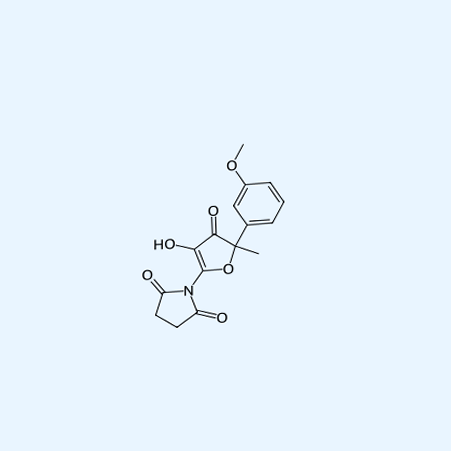 COc1cccc(C2(C)OC(N3C(=O)CCC3=O)=C(O)C2=O)c1